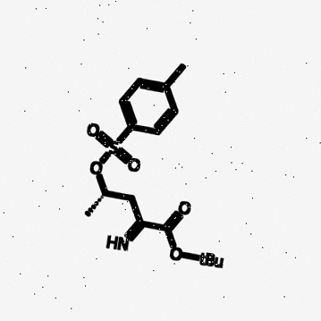 Cc1ccc(S(=O)(=O)O[C@@H](C)CC(=N)C(=O)OC(C)(C)C)cc1